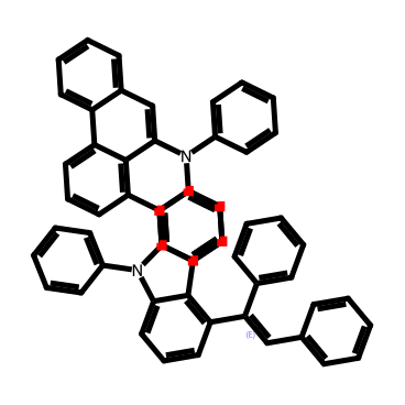 C(=C(/c1ccccc1)c1cccc2c1c1cccc(-c3cccc4c3c(N(c3ccccc3)c3ccccc3)cc3ccccc34)c1n2-c1ccccc1)/c1ccccc1